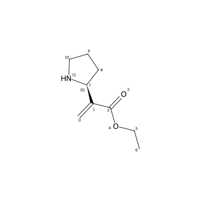 C=C(C(=O)OCC)[C@@H]1CCCN1